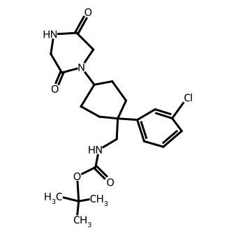 CC(C)(C)OC(=O)NCC1(c2cccc(Cl)c2)CCC(N2CC(=O)NCC2=O)CC1